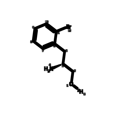 [2H]OC[C@H](N)Cc1ccccc1Br